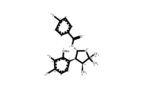 COc1c([C@H]2[C@H](OC(=O)c3ccc(F)cc3)O[C@@](C)(C(F)(F)F)[C@H]2C)ccc(F)c1F